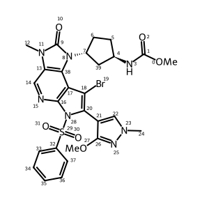 COC(=O)N[C@@H]1CC[C@@H](n2c(=O)n(C)c3cnc4c(c(Br)c(-c5cn(C)nc5OC)n4S(=O)(=O)c4ccccc4)c32)C1